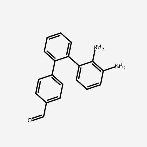 Nc1cccc(-c2ccccc2-c2ccc(C=O)cc2)c1N